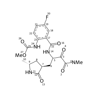 CNC(=O)C(=O)C(C[C@@H]1C[C@@H](C)NC1=O)NC(=O)c1cc(F)ccc1NC(=O)OC